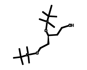 CC(C)(C)[Si](C)(C)OCC[C@H](CCO)O[Si](C)(C)C(C)(C)C